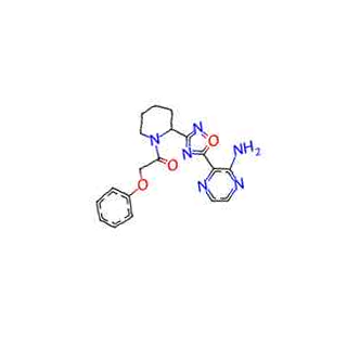 Nc1nccnc1-c1nc(C2CCCCN2C(=O)COc2ccccc2)no1